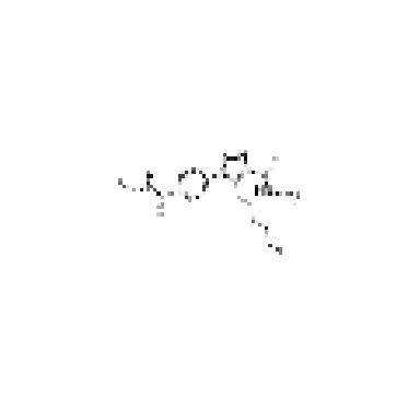 O=C(NCC(F)(F)F)c1ccc(-n2nnc(C(=O)NC3CC3)c2CCCCCF)cc1